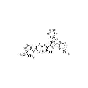 CCN(CC)C(CC1CCC(Cc2sccc2N(C)C)CC1)c1nc(Cc2ccccc2)c(N2CCCC(C)C2)o1